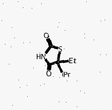 CCC1(C(C)C)SC(=O)NC1=O